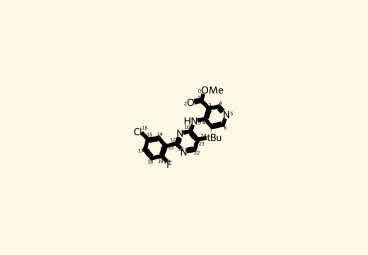 COC(=O)c1cnccc1Nc1nc(-c2cc(Cl)ccc2F)ncc1C(C)(C)C